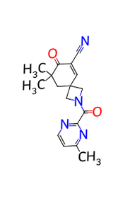 Cc1ccnc(C(=O)N2CC3(C=C(C#N)C(=O)C(C)(C)C3)C2)n1